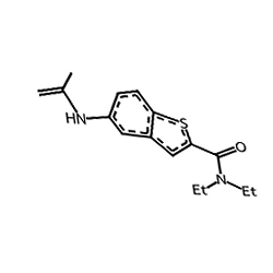 C=C(C)Nc1ccc2sc(C(=O)N(CC)CC)cc2c1